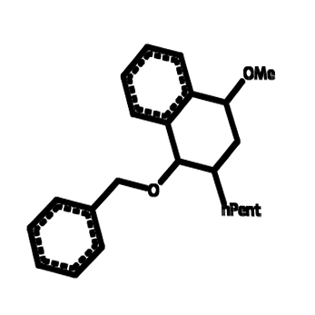 CCCCCC1CC(OC)c2ccccc2C1OCc1ccccc1